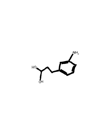 Nc1cccc(CCC(O)O)c1